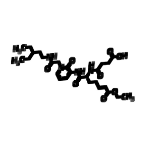 CCOC(=O)C=CCC[C@H](NC(=O)CCC(=O)O)C(=O)Nc1cccn(CC(=O)NCCC(CC)CC)c1=O